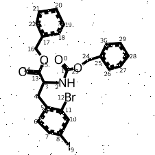 O=C(NC(Cc1ccc(I)cc1Br)C(=O)OCc1ccccc1)OCc1ccccc1